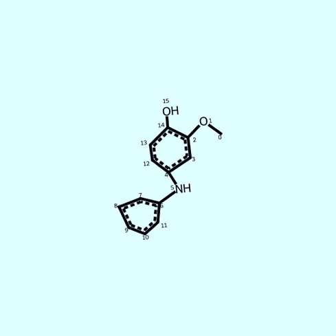 COc1cc(Nc2ccccc2)ccc1O